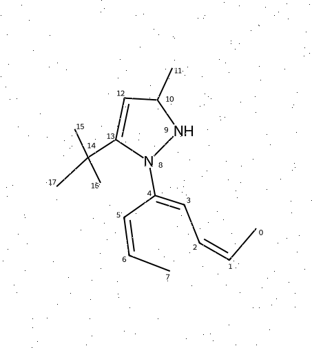 C\C=C/C=C(\C=C/C)N1NC(C)C=C1C(C)(C)C